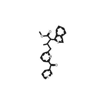 COC(=O)C(c1scc2ccccc12)C(C)Cc1cccc(C(=O)c2ccccc2)n1